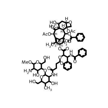 COC1OC(CO)C(OC2OC(CO)C(C)C(O)C2NC(=O)CCC(=O)OC(C(=O)O[C@H]2C[C@@]3(O)C(OC(=O)c4ccccc4)[C@@H]4[C@]5(OC(C)=O)CO[C@@H]5C[C@H](O)[C@@]4(C)C(=O)[C@H](OC(C)=O)C(=C2C)C3(C)C)C(NC(=O)c2ccccc2)c2ccccc2)C(O)C1N